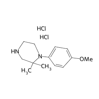 COc1ccc(N2CCNCC2(C)C)cc1.Cl.Cl